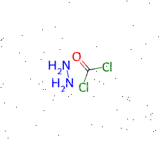 NN.O=C(Cl)Cl